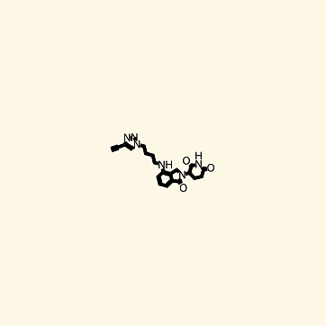 C#Cc1cn(CCCCNc2cccc3c2CN(C2CCC(=O)NC2=O)C3=O)nn1